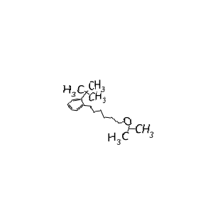 CC(C)OCCCCCCc1ccccc1C(C)(C)C